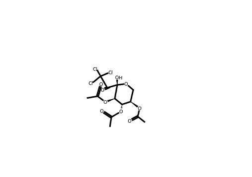 CC(=O)O[C@@H]1[C@@H](OC(C)=O)[C@](O)(C(=O)C(Cl)(Cl)Cl)OC[C@H]1OC(C)=O